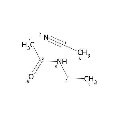 CC#N.CCNC(C)=O